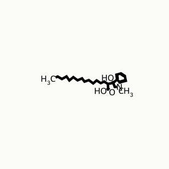 CCCCCCCCCCCCCCC(C(=O)O)C1(O)CN(C)c2ccccc21